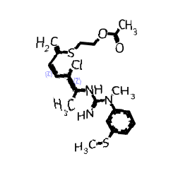 C=C(/C=C\C(Cl)=C(/C)NC(=N)N(C)c1cccc(SC)c1)SCCOC(C)=O